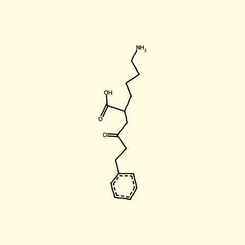 NCCCCC(CC(=O)CCc1ccccc1)C(=O)O